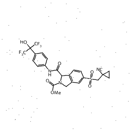 COC(=O)N1Cc2cc(S(=O)(=O)CC3(C#N)CC3)ccc2C1C(=O)Nc1ccc(C(O)(C(F)(F)F)C(F)(F)F)cc1